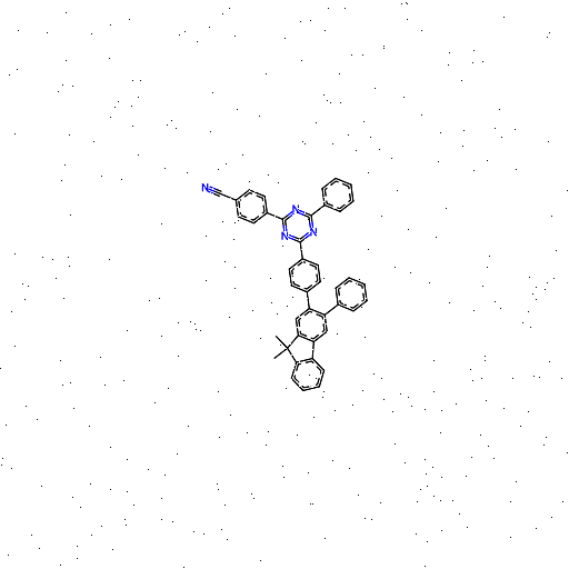 CC1(C)c2ccccc2-c2cc(-c3ccccc3)c(-c3ccc(-c4nc(-c5ccccc5)nc(-c5ccc(C#N)cc5)n4)cc3)cc21